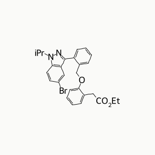 CCOC(=O)Cc1ccccc1OCc1ccccc1-c1nn(C(C)C)c2ccc(Br)cc12